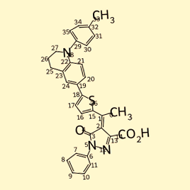 C/C(=C1/C(=O)N(c2ccccc2)N=C1C(=O)O)c1ccc(-c2ccc3c(c2)CCCN3c2ccc(C)cc2)s1